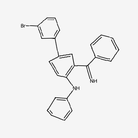 N=C(c1ccccc1)c1cc(-c2cccc(Br)c2)ccc1Nc1ccccc1